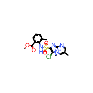 COC(=O)c1cccc(C)c1NS(=O)(=O)C1=C(Cl)[N+]2(C)C=C(C)C=NC2=N1